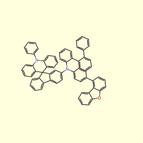 c1ccc(-c2ccccc2-c2ccccc2N(c2ccc(-c3cccc4oc5ccccc5c34)cc2)c2ccc3c(c2)C2(c4ccccc4-3)c3ccccc3N(c3ccccc3)c3ccccc32)cc1